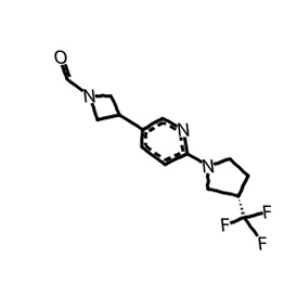 O=CN1CC(c2ccc(N3CC[C@H](C(F)(F)F)C3)nc2)C1